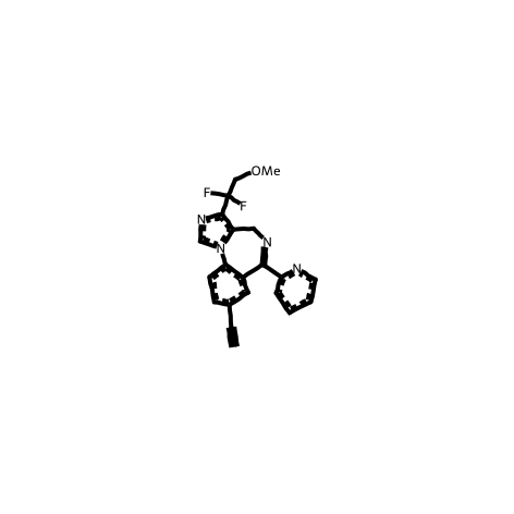 C#Cc1ccc2c(c1)C(c1ccccn1)=NCc1c(C(F)(F)COC)ncn1-2